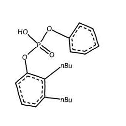 CCCCc1cccc(OP(=O)(O)Oc2ccccc2)c1CCCC